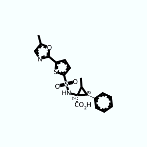 Cc1cnc(-c2ccc(S(=O)(=O)N[C@@]3(C(=O)O)C(C)[C@@H]3c3ccccc3)s2)o1